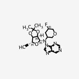 C#C[C@H]1O[C@@H](N(C2COC[C@H](F)C2)n2cnc3cncnc32)[C@@H]2OC(C)(C)OC21